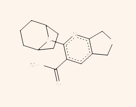 COC(=O)c1cc2c(nc1N1C3CCCC1CC3)COC2